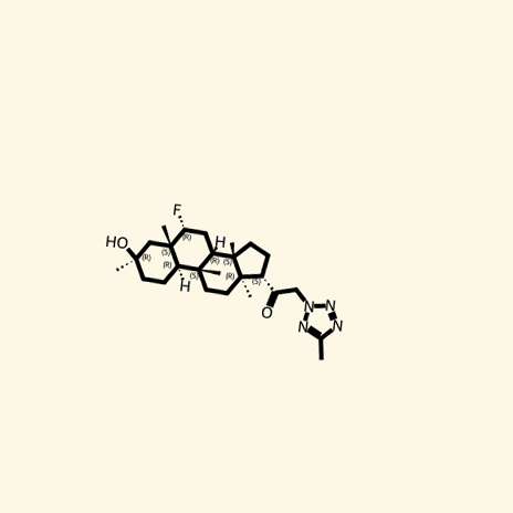 Cc1nnn(CC(=O)[C@H]2CC[C@@]3(C)[C@@H]4C[C@@H](F)[C@@]5(C)C[C@](C)(O)CC[C@@H]5[C@@]4(C)CC[C@]23C)n1